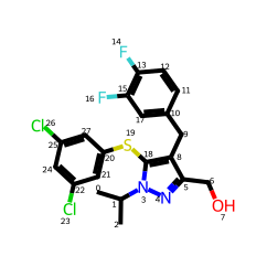 CC(C)n1nc(CO)c(Cc2ccc(F)c(F)c2)c1Sc1cc(Cl)cc(Cl)c1